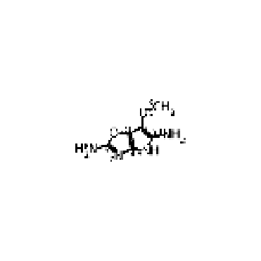 COc1c(N)[nH]c2nc(N)oc12